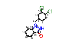 O=c1[nH]n(Cc2ccc(Cl)c(Cl)c2)c2ccccc12